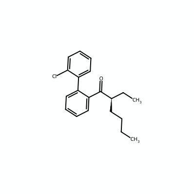 CCCC[C@H](CC)C(=O)c1ccccc1-c1ccccc1Cl